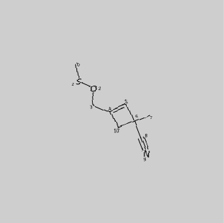 CSOCC1=CC(C)(C#N)C1